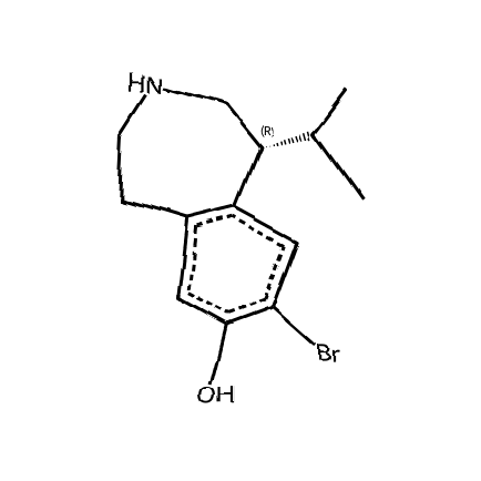 CC(C)[C@H]1CNCCc2cc(O)c(Br)cc21